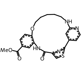 COC(=O)c1ccc2c(c1)NC(=O)c1csc(n1)-c1ccnc(c1)NCCCCCO2